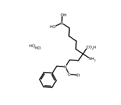 CCON(CCC(N)(CCCCB(O)O)C(=O)O)Cc1ccccc1.Cl.Cl